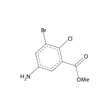 COC(=O)c1cc(N)cc(Br)c1Cl